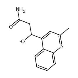 Cc1cc(C([O])CC(N)=O)c2ccccc2n1